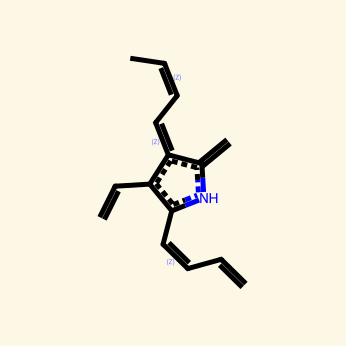 C=C/C=C\c1[nH]c(=C)/c(=C\C=C/C)c1C=C